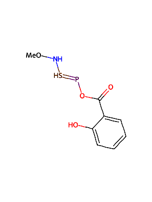 CON[SH]=POC(=O)c1ccccc1O